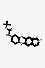 CC(C)(C)OC(=O)N[C@H]1CC[C@@H](Oc2cc3ccncc3cc2Cl)CC1